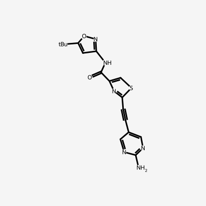 CC(C)(C)c1cc(NC(=O)c2csc(C#Cc3cnc(N)nc3)n2)no1